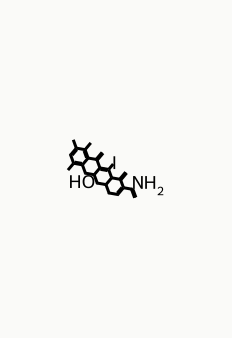 C=C(N)C1=CCC2CC3(O)Cc4c(C)cc(C)c(C)c4C(=C)C3=C(I)C2C1=C